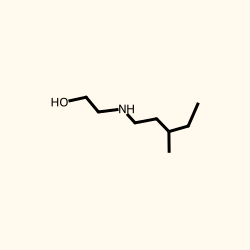 CCC(C)CCNCCO